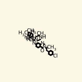 C[C@H]1[C@@H](NC(=Nc2ccc3c(=O)n([C@H](C)Cc4ccc(Cl)cc4)cnc3c2)N2CCN[C@@H](C)C2)C[C@@H]2C[C@@H]1C2(C)C